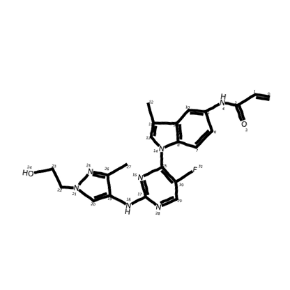 C=CC(=O)Nc1ccc2c(c1)c(C)cn2-c1nc(Nc2cn(CCO)nc2C)ncc1F